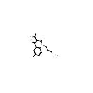 CNCCCn1c(=O)c2c(C)[nH]nc2c2cc(Cl)ccc21